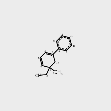 CC1(CCl)C=CC=C(c2ccccc2)C1